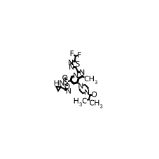 Cc1nc(-c2nnc(C(F)F)s2)n2cc(S(=O)(=O)NC3(C#N)CC3)cc(N3CCN(C(=O)C(C)C)CC3)c12